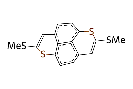 CSC1=Cc2ccc3c4c(ccc(c24)S1)C=C(SC)S3